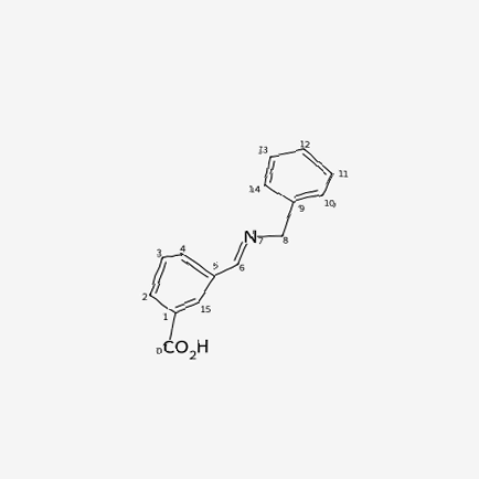 O=C(O)c1cccc(/C=N/Cc2ccccc2)c1